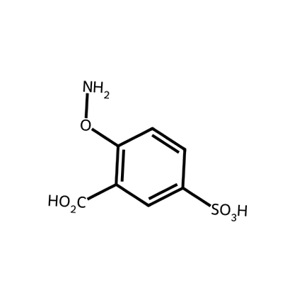 NOc1ccc(S(=O)(=O)O)cc1C(=O)O